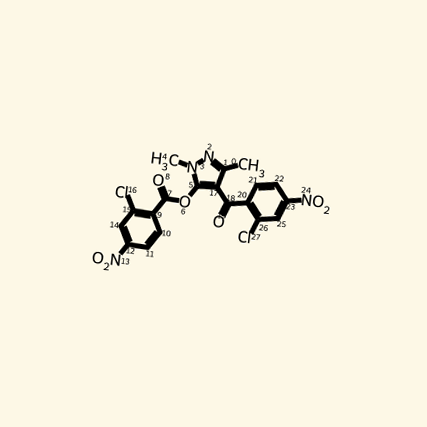 Cc1nn(C)c(OC(=O)c2ccc([N+](=O)[O-])cc2Cl)c1C(=O)c1ccc([N+](=O)[O-])cc1Cl